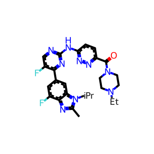 CCN1CCN(C(=O)c2ccc(Nc3ncc(F)c(-c4cc(F)c5nc(C)n(C(C)C)c5c4)n3)nn2)CC1